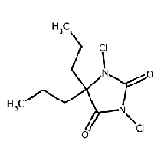 CCCC1(CCC)C(=O)N(Cl)C(=O)N1Cl